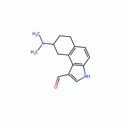 CN(C)C1CCc2ccc3[nH]cc(C=O)c3c2C1